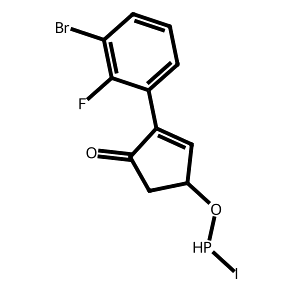 O=C1CC(OPI)C=C1c1cccc(Br)c1F